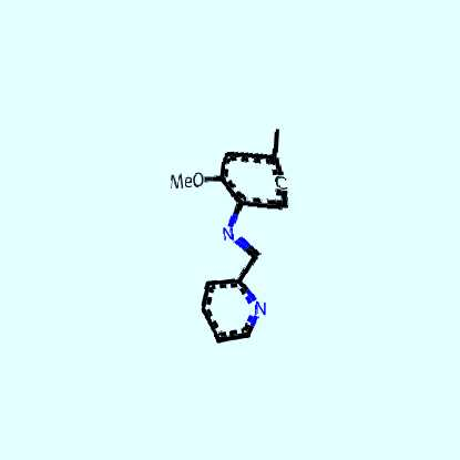 COc1cc(C)ccc1N=Cc1ccccn1